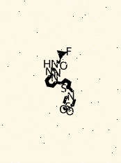 O=C(Nc1nc2cccc(-c3ccc(CN4CCS(=O)(=O)CC4)s3)n2n1)[C@H]1C[C@H]1F